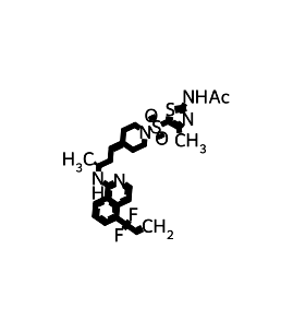 C=CC(F)(F)c1cccc2c(N[C@@H](C)CC=C3CCN(S(=O)(=O)c4sc(NC(C)=O)nc4C)CC3)nccc12